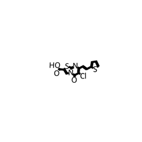 O=C(O)c1cn2c(=O)c(Cl)c(/C=C/c3cccs3)nc2s1